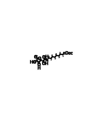 CCCCCCCCCCCCCCCCCCNC(=O)C(O)[C@H]1OC(=O)[C@@H](O)[C@H]1O